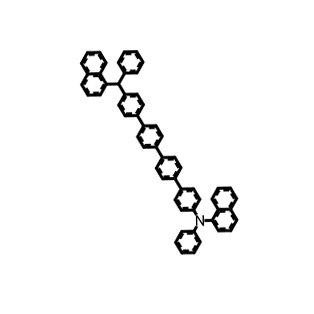 c1ccc(C(c2ccc(-c3ccc(-c4ccc(-c5ccc(N(c6ccccc6)c6cccc7ccccc67)cc5)cc4)cc3)cc2)c2cccc3ccccc23)cc1